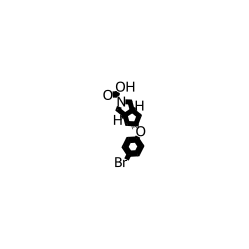 O=C(O)N1C[C@H]2C[C@@H](Oc3ccc(Br)cc3)C[C@H]2C1